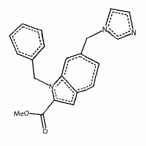 COC(=O)c1cc2ccc(Cn3ccnc3)cc2n1Cc1ccccc1